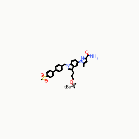 Cc1cc(C(N)=O)nn1-c1ccc2c(c1)c(CCCO[Si](C)(C)C(C)(C)C)cn2Cc1ccc(-c2ccc(S(C)(=O)=O)cc2)cc1